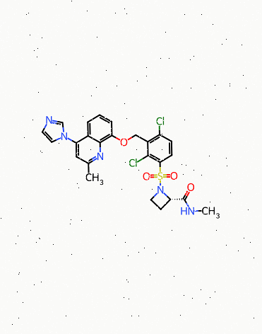 CNC(=O)[C@@H]1CCN1S(=O)(=O)c1ccc(Cl)c(COc2cccc3c(-n4ccnc4)cc(C)nc23)c1Cl